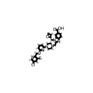 O=C(O)c1ccc2nc(CN3CCN(c4cccc(OCc5ncc(Cl)cc5F)n4)CC3)n(C[C@@H]3CCO3)c2c1